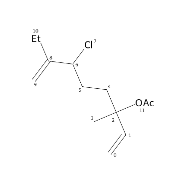 C=CC(C)(CCC(Cl)C(=C)CC)OC(C)=O